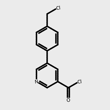 O=C(Cl)c1cncc(-c2ccc(CCl)cc2)c1